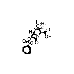 CC1(C)S[C@@H]2[C@H](OS(=O)(=O)c3ccccc3)C(=O)N2[C@H]1C(=O)O